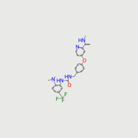 C=C(NC)c1cc(Oc2ccc(CNC(=O)Nc3cc(C(F)(F)F)ccc3N(C)C)cc2)ccn1